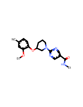 CCNC(=O)c1cnc(N2CCCC(Oc3ccc(C#N)cc3OCC)C2)nc1